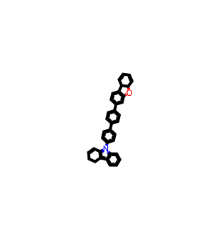 C1=CC2Oc3cc(-c4ccc(-c5ccc(-n6c7c(c8ccccc86)CCC=C7)cc5)cc4)ccc3C2C=C1